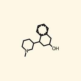 CN1CCCC(C2CC(O)Cc3ccccc32)C1